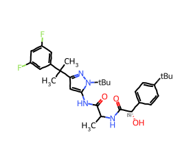 CC(NC(=O)[C@@H](O)c1ccc(C(C)(C)C)cc1)C(=O)Nc1cc(C(C)(C)c2cc(F)cc(F)c2)nn1C(C)(C)C